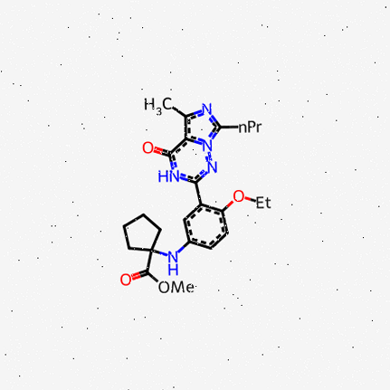 CCCc1nc(C)c2c(=O)[nH]c(-c3cc(NC4(C(=O)OC)CCCC4)ccc3OCC)nn12